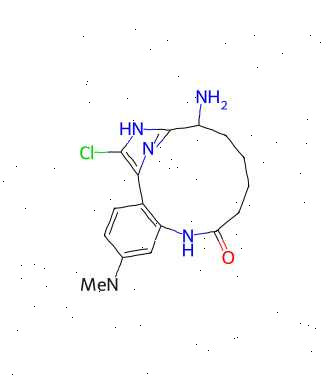 CNc1ccc2c(c1)NC(=O)CCCCC(N)c1nc-2c(Cl)[nH]1